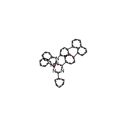 c1ccc(-c2nc(-c3ccccc3)nc(-c3ccc(-c4cccc5cccc(-c6ccc(-n7cnc8ccccc87)cc6)c45)cc3)n2)cc1